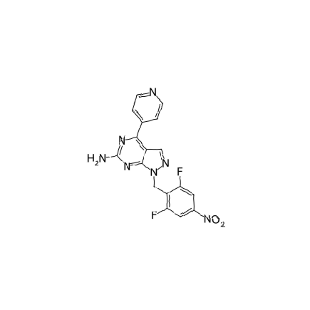 Nc1nc(-c2ccncc2)c2cnn(Cc3c(F)cc([N+](=O)[O-])cc3F)c2n1